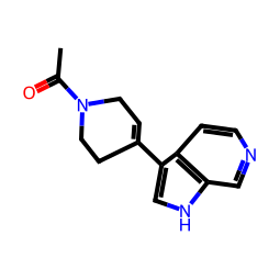 CC(=O)N1CC=C(c2c[nH]c3cnccc23)CC1